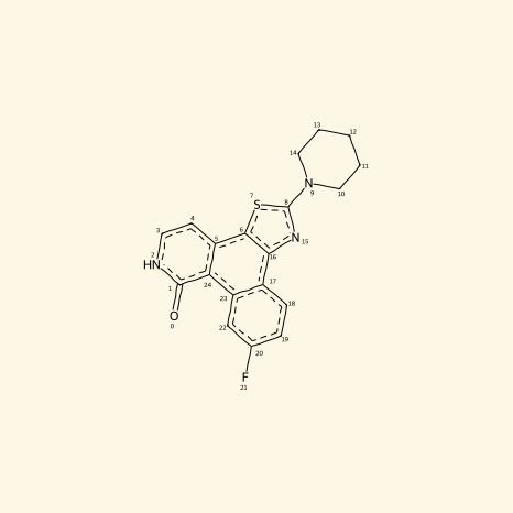 O=c1[nH]ccc2c3sc(N4CCCCC4)nc3c3ccc(F)cc3c12